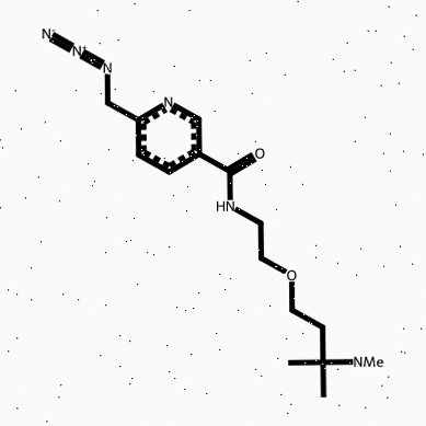 CNC(C)(C)CCOCCNC(=O)c1ccc(CN=[N+]=[N-])nc1